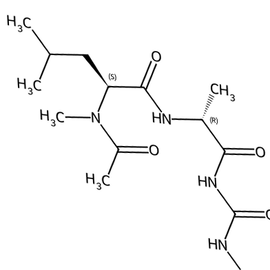 CNC(=O)NC(=O)[C@@H](C)NC(=O)[C@H](CC(C)C)N(C)C(C)=O